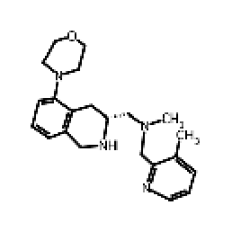 Cc1cccnc1CN(C)C[C@H]1Cc2c(cccc2N2CCOCC2)CN1